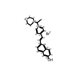 CC(N1CCOCC1)[n+]1ccc(C=Cc2ccc3cc(O)ccc3c2)cc1.[Br-]